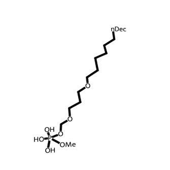 CCCCCCCCCCCCCCCCOCCCOCOP(O)(O)(O)OC